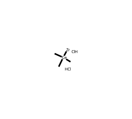 Cl.Cl.[CH3][Ge]([CH3])([CH3])[Zr]